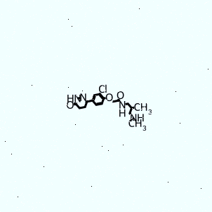 CNCC(C)CNC(=O)COc1ccc(C2=NNC(=O)CC2)cc1Cl